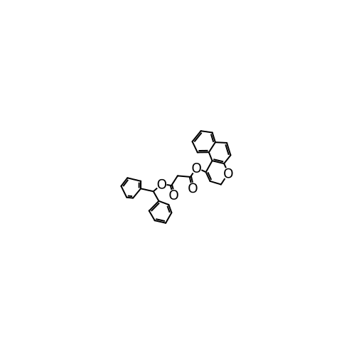 O=C(CC(=O)OC(c1ccccc1)c1ccccc1)OC1=CCOc2ccc3ccccc3c21